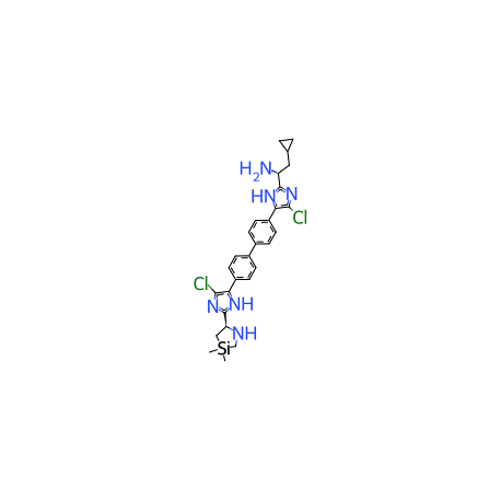 C[Si]1(C)CN[C@H](c2nc(Cl)c(-c3ccc(-c4ccc(-c5[nH]c([C@@H](N)CC6CC6)nc5Cl)cc4)cc3)[nH]2)C1